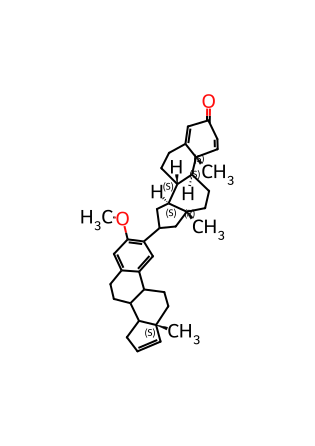 COc1cc2c(cc1C1C[C@H]3[C@@H]4CCC5=CC(=O)C=C[C@]5(C)[C@H]4CC[C@]3(C)C1)C1CC[C@]3(C)C=CCC3C1CC2